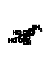 Nc1ccc(O[C@@H]2[C@@H](O)[C@@H](O)[C@@H](CO)O[C@H]2O)cc1